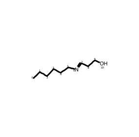 CCCCCCN=CCCO